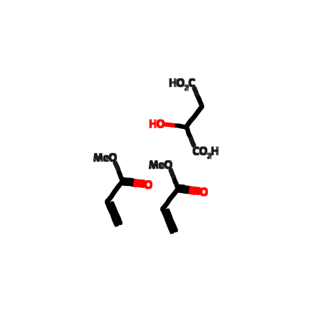 C=CC(=O)OC.C=CC(=O)OC.O=C(O)CC(O)C(=O)O